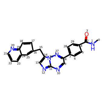 CNC(=O)c1ccc(-c2cnc3ncc(Cc4ccc5ncccc5c4)n3n2)cc1